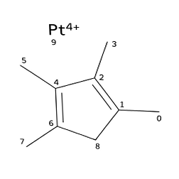 CC1=C(C)C(C)=C(C)C1.[Pt+4]